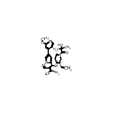 CC[C@@H]1CN(C(=O)C(C)(C)O)CC[C@H]1Nc1c(C(N)=O)cnn2cc(-c3ccnc(OC)c3)cc12